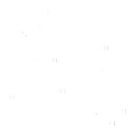 Cc1ccc(Cn2c(-c3ccc(Oc4ccc(C(C)(C)C)cc4)c(C)c3)cc(C(F)(F)F)c(C#N)c2=O)c(C)c1